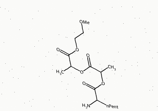 CCCCCC(N)C(=O)OC(C)C(=O)OC(C)C(=O)OCCOC